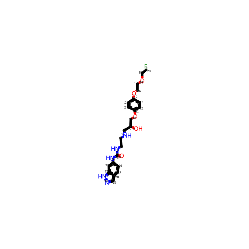 O=C(NCCNCC(O)COc1ccc(OCCOCCF)cc1)Nc1ccc2cn[nH]c2c1